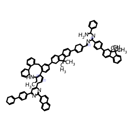 CC/C1=C(\C=C/Cc2cc(-c3ccc(C4=CCCC=C4)cc3)nc(-c3ccc4ccccc4c3)n2)c2ccc(C3C=CC4=C(C3)C(C)(C)c3cc(C5=CC=C(/C=N/C(=N\C(N)c6ccccc6)c6ccc(C7=CC=C8c9ccccc9C(C)(C)C8(C)C7)cc6)CC5)ccc34)cc2Cc2ccccc2C2C=CC=CC2N1